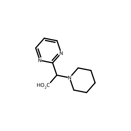 O=C(O)C(c1ncccn1)N1CCCCC1